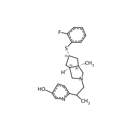 CC(CN1C[C@H]2C[C@H](Sc3ccccc3F)C[C@@]2(C)C1)c1ccc(O)cn1